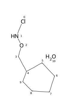 ClNOCC1CCCCC1.O